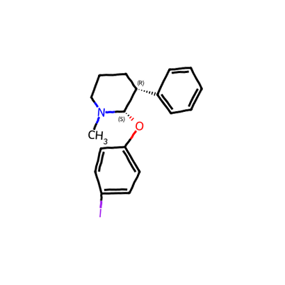 CN1CCC[C@H](c2ccccc2)[C@@H]1Oc1ccc(I)cc1